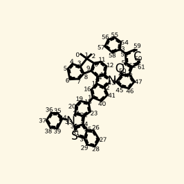 CC1(C)c2ccccc2-c2c1ccc1c2c2cc(-c3ccc4c(c3)c3c5ccccc5sc3n4-c3ccccc3)ccc2n1-c1cccc2c1oc1c(-c3ccccc3)cccc12